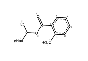 CCCCCCCCCC(CC)OC(=O)c1ccccc1C(=O)O